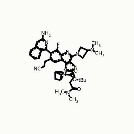 CN(C)C(=O)CCc1nc2c(N3CC(N(C)C)C3)nc3c(F)c(-c4nc(N)cc5ccccc45)c(CCC#N)cc3c2n1C1C2CC1N(C(=O)OC(C)(C)C)C2